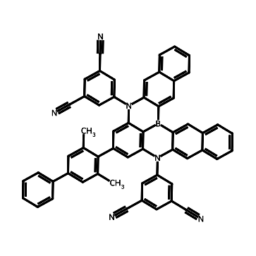 Cc1cc(-c2ccccc2)cc(C)c1-c1cc2c3c(c1)N(c1cc(C#N)cc(C#N)c1)c1cc4ccccc4cc1B3c1cc3ccccc3cc1N2c1cc(C#N)cc(C#N)c1